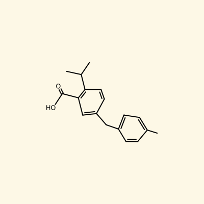 Cc1ccc(Cc2ccc(C(C)C)c(C(=O)O)c2)cc1